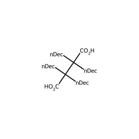 CCCCCCCCCCC(CCCCCCCCCC)(C(=O)O)C(CCCCCCCCCC)(CCCCCCCCCC)C(=O)O